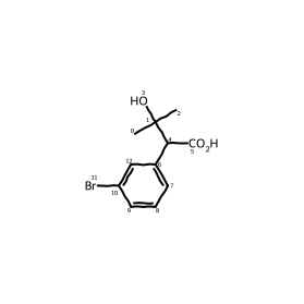 CC(C)(O)C(C(=O)O)c1cccc(Br)c1